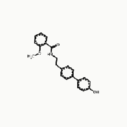 COc1ccccc1C(=O)NCCc1ccc(-c2ccc(O)cc2)cc1